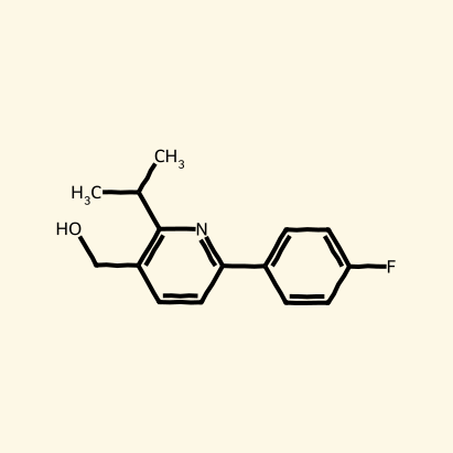 CC(C)c1nc(-c2ccc(F)cc2)ccc1CO